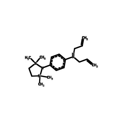 C=CC[SiH](CC=C)c1ccc(N2[Si](C)(C)CC[Si]2(C)C)cc1